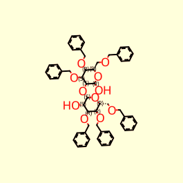 O[C@@H]1[C@H](O[C@H]2[C@@H](OCc3ccccc3)[C@H](OCc3ccccc3)[C@@H](COCc3ccccc3)O[C@H]2O)O[C@H](COCc2ccccc2)[C@@H](OCc2ccccc2)[C@@H]1OCc1ccccc1